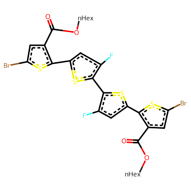 CCCCCCOC(=O)c1cc(Br)sc1-c1cc(F)c(-c2sc(-c3sc(Br)cc3C(=O)OCCCCCC)cc2F)s1